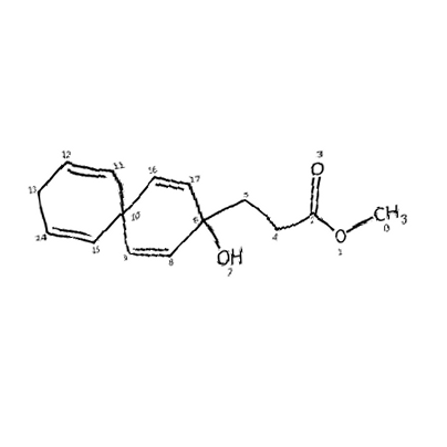 COC(=O)CCC1(O)C=CC2(C=CCC=C2)C=C1